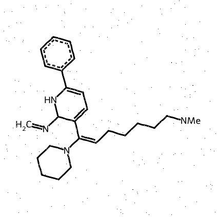 C=NC1NC(c2ccccc2)=CC=C1/C(=C\CCCCCNC)N1CCCCC1